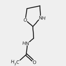 CC(=O)NCC1NCCO1